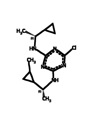 CC1CC1[C@@H](C)Nc1nc(Cl)nc(N[C@H](C)C2CC2)n1